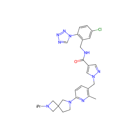 Cc1nc(N2CCC3(C2)CN(C(C)C)C3)ccc1Cn1cc(C(=O)NCc2cc(Cl)ccc2-n2cnnn2)cn1